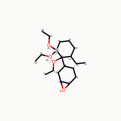 CCOC1(C2CCC3OC3C2)C(CC)CCC[Si]1(OCC)OCC